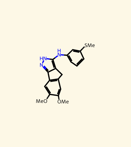 COc1cc2c(cc1OC)-c1n[nH]c(Nc3cccc(SC)c3)c1C2